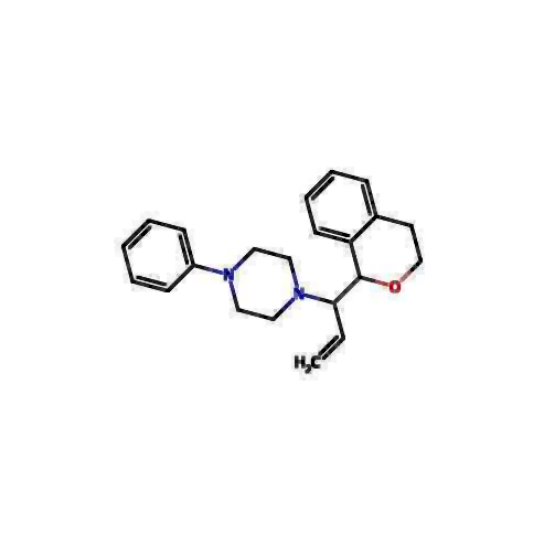 C=CC(C1OCCc2ccccc21)N1CCN(c2ccccc2)CC1